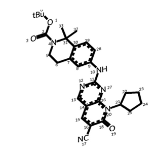 CC(C)(C)OC(=O)N1CCc2cc(Nc3ncc4cc(C#N)c(=O)n(C5CCCC5)c4n3)ccc2C1(C)C